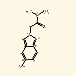 CN(C)C(=O)Cn1cc2cc(Br)ccc2n1